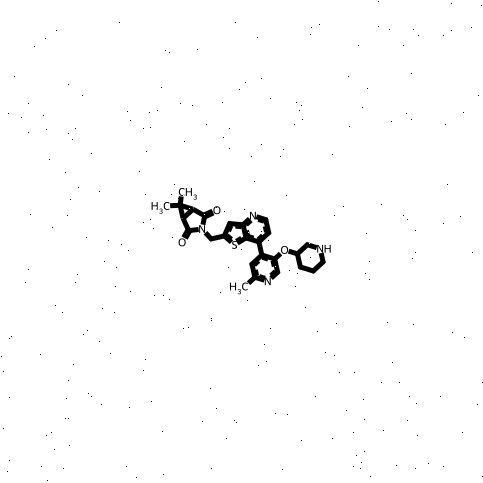 Cc1cc(-c2ccnc3cc(CN4C(=O)C5C(C4=O)C5(C)C)sc23)c(OC2CCCNC2)cn1